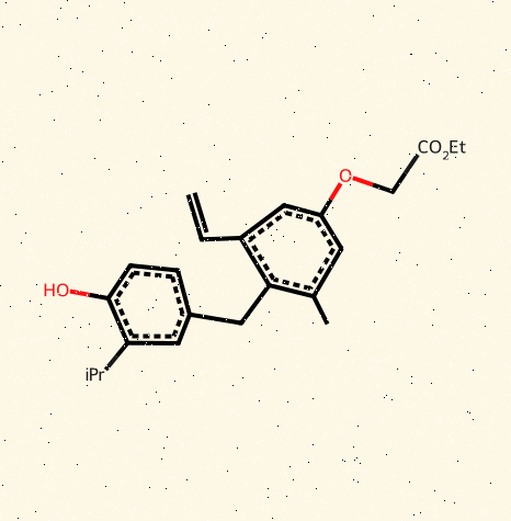 C=Cc1cc(OCC(=O)OCC)cc(C)c1Cc1ccc(O)c(C(C)C)c1